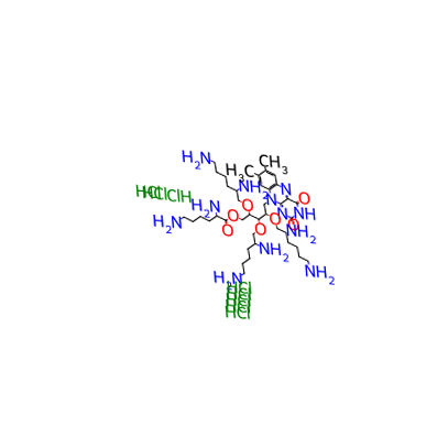 Cc1cc2nc3c(=O)[nH]c(=O)nc-3n(CC(OCC(N)CCCCN)C(OCC(N)CCCCN)C(COC(=O)C(N)CCCCN)OCC(N)CCCCN)c2cc1C.Cl.Cl.Cl.Cl.Cl.Cl.Cl.Cl